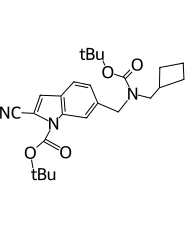 CC(C)(C)OC(=O)N(Cc1ccc2cc(C#N)n(C(=O)OC(C)(C)C)c2c1)CC1CCC1